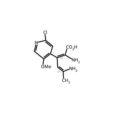 COc1cnc(Cl)cc1C(/C=C(/C)N)=C(/N)C(=O)O